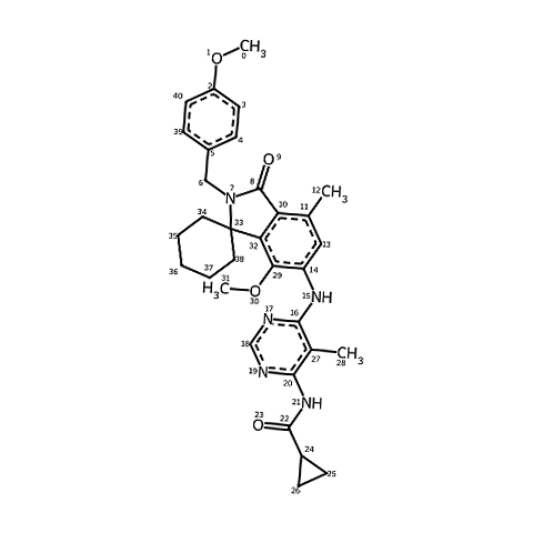 COc1ccc(CN2C(=O)c3c(C)cc(Nc4ncnc(NC(=O)C5CC5)c4C)c(OC)c3C23CCCCC3)cc1